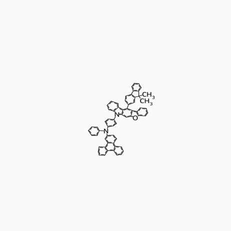 CC1(C)c2ccccc2-c2ccc(-c3c4c(cc5c3c3ccccc3n5-c3ccc(N(c5ccccc5)c5ccc6c7ccccc7c7ccccc7c6c5)cc3)oc3ccccc34)cc21